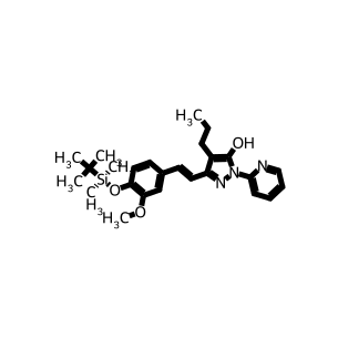 CCCc1c(C=Cc2ccc(O[Si](C)(C)C(C)(C)C)c(OC)c2)nn(-c2ccccn2)c1O